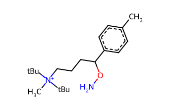 Cc1ccc(C(CCC[N+](C)(C(C)(C)C)C(C)(C)C)ON)cc1